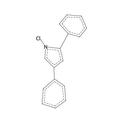 Cln1cc(-c2ccccc2)cc1-c1ccccc1